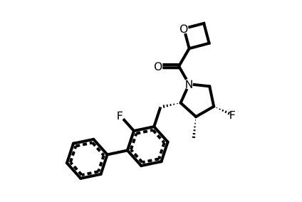 C[C@H]1[C@@H](F)CN(C(=O)C2CCO2)[C@H]1Cc1cccc(-c2ccccc2)c1F